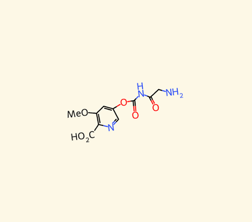 COc1cc(OC(=O)NC(=O)CN)cnc1C(=O)O